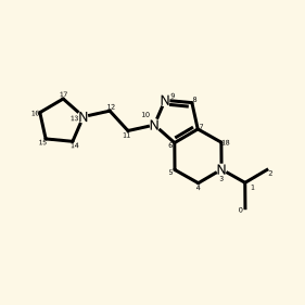 CC(C)N1CCc2c(cnn2CCN2CCCC2)C1